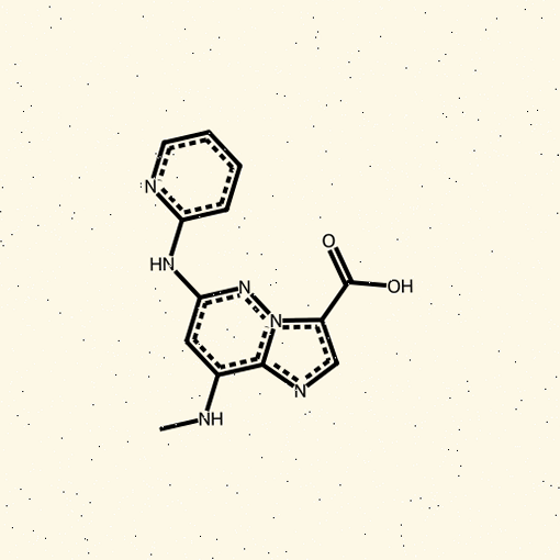 CNc1cc(Nc2ccccn2)nn2c(C(=O)O)cnc12